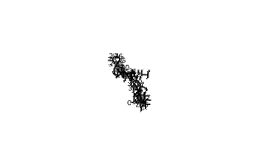 Cc1cc(C(F)(F)F)nn1CC(=O)N1CCC(c2nc(C3=NO[C@@H](c4ccccc4)C3)c[nH]2)CC1